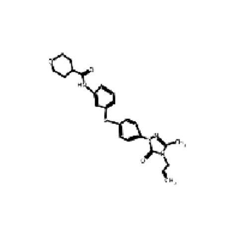 C=CCn1c(C)nn(-c2ccc(Sc3cccc(NC(=O)C4CCOCC4)c3)cc2)c1=O